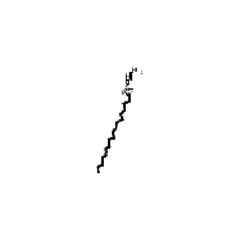 CCCCCCCCCCCCCCCCCC1P=[SH](NCCN)=P1